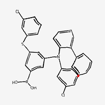 OB(O)c1cc(Sc2cccc(Cl)c2)cc(N(c2cccc(Cl)c2)c2ccccc2-c2ccccc2)c1